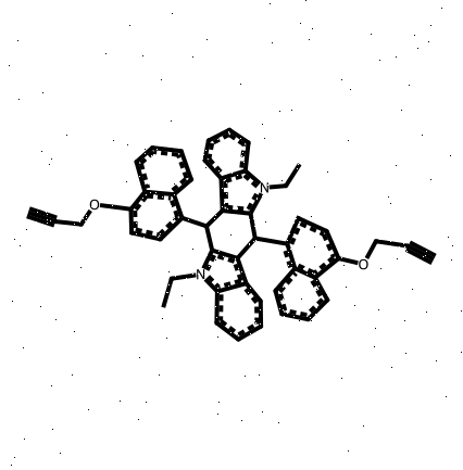 C#CCOc1ccc(C2c3c(n(CC)c4ccccc34)C(c3ccc(OCC#C)c4ccccc34)c3c2n(CC)c2ccccc32)c2ccccc12